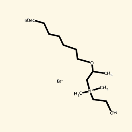 CCCCCCCCCCCCCCCCOC(C)C[N+](C)(C)CCO.[Br-]